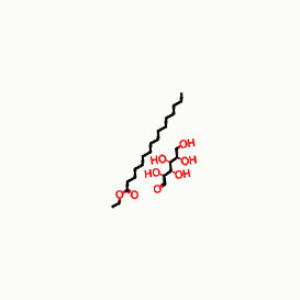 CCCCCCCCCCCCCCCC(=O)OCC.O=C[C@H](O)[C@@H](O)[C@H](O)[C@H](O)CO